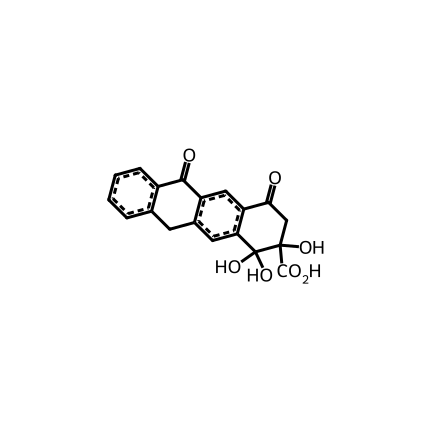 O=C1c2ccccc2Cc2cc3c(cc21)C(=O)CC(O)(C(=O)O)C3(O)O